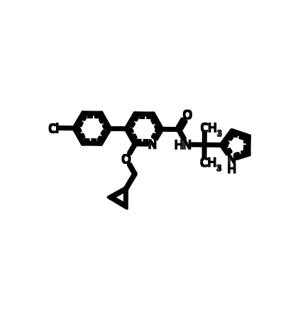 CC(C)(NC(=O)c1ccc(-c2ccc(Cl)cc2)c(OCC2CC2)n1)c1ccc[nH]1